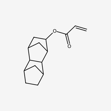 C=CC(=O)OC1CC2CC1C1C3CCC(C3)C21